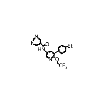 CCc1ccc(-c2cc(NC(=O)c3cncnc3)cnc2OCC(F)(F)F)cc1